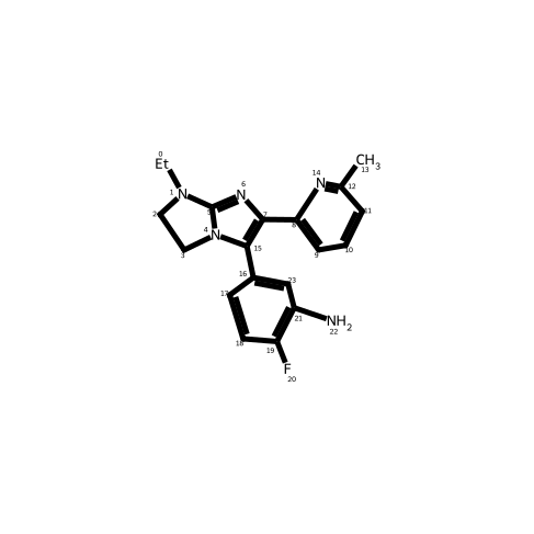 CCN1CCn2c1nc(-c1cccc(C)n1)c2-c1ccc(F)c(N)c1